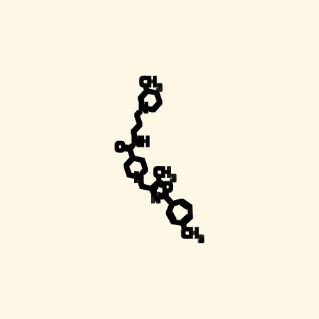 CC1=CC=CC(c2nc(CN3CCC(C(=O)NCCCN4CCCC(C)C4)CC3)c(C)o2)C=C1